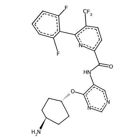 N[C@H]1CC[C@H](Oc2ncncc2NC(=O)c2ccc(C(F)(F)F)c(-c3c(F)cccc3F)n2)CC1